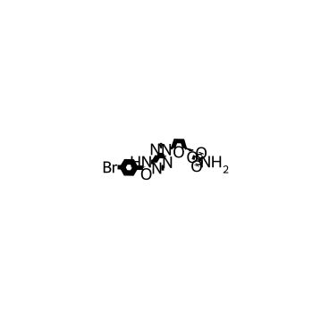 NS(=O)(=O)OC[C@@H]1CC[C@H](n2cnc3c(NC(=O)c4ccc(Br)cc4)ncnc32)O1